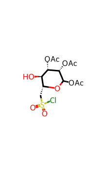 CC(=O)OC1O[C@H](CS(=O)(=O)Cl)[C@@H](O)[C@H](OC(C)=O)[C@@H]1OC(C)=O